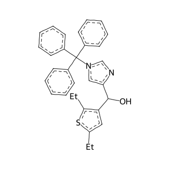 CCc1cc(C(O)c2cn(C(c3ccccc3)(c3ccccc3)c3ccccc3)cn2)c(CC)s1